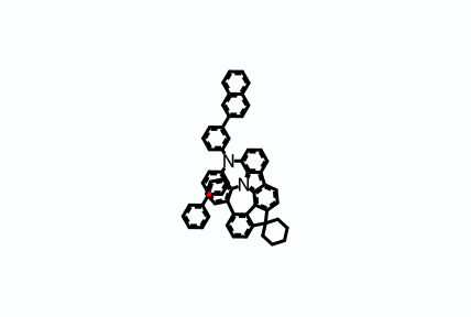 c1ccc(-c2ccc(N(c3cccc(-c4ccc5ccccc5c4)c3)c3cccc4c5ccc6c7c5n(c34)-c3ccccc3-c3cccc(c3-7)C63CCCCC3)cc2)cc1